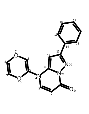 O=c1ccn(C2=COC=CO2)c2cc(-c3ccccc3)nn12